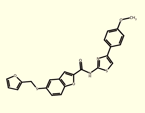 COc1ccc(-c2csc(NC(=O)c3cc4cc(SCc5ccco5)ccc4o3)n2)cc1